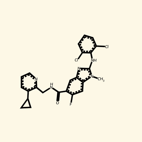 Cn1c(Nc2c(Cl)cccc2Cl)nc2cc(C(=O)NCc3ncccc3C3CC3)c(F)cc21